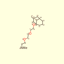 CNCCOCCOCCOC12CCCC(CC(C)C1)C2